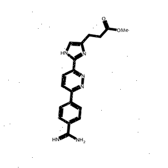 COC(=O)CCc1c[nH]c(-c2ccc(-c3ccc(C(=N)N)cc3)nn2)n1